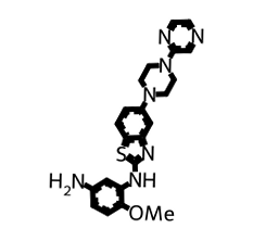 COc1ccc(N)cc1Nc1nc2cc(N3CCN(c4cnccn4)CC3)ccc2s1